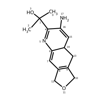 CC(C)(O)C1=NC2=CC3=C(COC3)CC2C=C1N